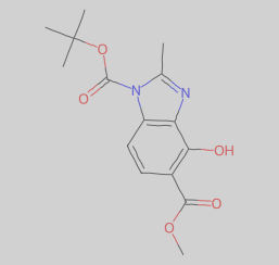 COC(=O)c1ccc2c(nc(C)n2C(=O)OC(C)(C)C)c1O